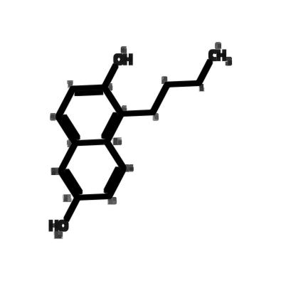 CCCCc1c(O)ccc2cc(O)ccc12